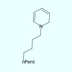 CCCCCCCCCN1C=CC=CC1